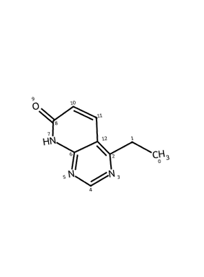 CCc1ncnc2[nH]c(=O)ccc12